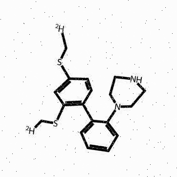 [2H]CSc1ccc(-c2ccccc2N2CCNCC2)c(SC[2H])c1